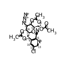 CC(=O)OC[C@H]1O[C@H](Sc2cc(Cl)cnc2C#N)[C@H](OC(C)=O)[C@@H](N=[N+]=[N-])[C@H]1OC(C)=O